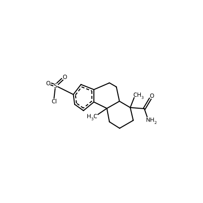 CC1(C(N)=O)CCCC2(C)c3ccc(S(=O)(=O)Cl)cc3CCC12